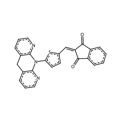 O=C1C(=Cc2ccc(N3c4ncccc4Cc4cccnc43)s2)C(=O)c2ccccc21